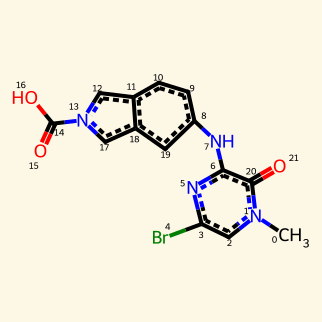 Cn1cc(Br)nc(Nc2ccc3cn(C(=O)O)cc3c2)c1=O